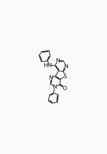 O=c1c2sc3ncnc(Nc4ccccc4)c3c2ncn1-c1ccccc1